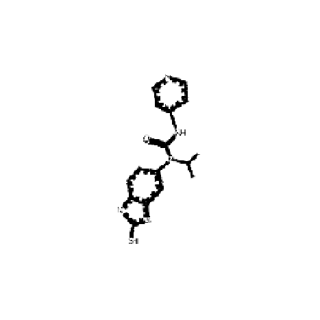 CC(C)N(C(=O)Nc1ccncc1)c1ccc2nc(S)sc2c1